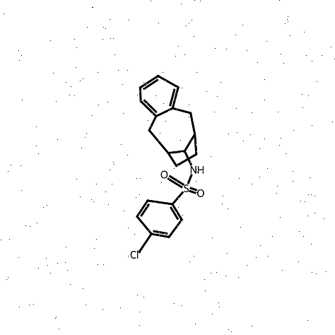 O=S(=O)(NC1C2CCC1Cc1ccccc1C2)c1ccc(Cl)cc1